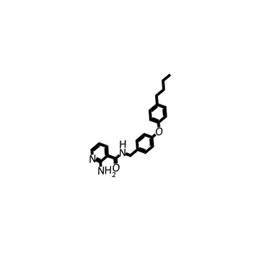 CCCCc1ccc(Oc2ccc(CNC(=O)c3cccnc3N)cc2)cc1